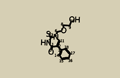 O=c1[nH]c(=S)n(COCCO)cc1-c1ccccc1